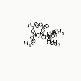 C=C/C=C(\C=C/C)N(/C(C)=C/C=C(\C)N(C1=CCC=C(N(c2ccccc2)c2cccc(OC)c2)C=C1)C1=CCC(N(C2=CCCC=C2)c2cccc(OC)c2)C=C1)c1cccc(OC)c1